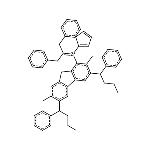 CCCC(c1ccccc1)c1cc2c(cc1C)Cc1c-2cc(C(CCC)c2ccccc2)c(C)[c]1[Zr]([C]1=CC=CC1)=[C](Cc1ccccc1)Cc1ccccc1